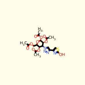 CC(=O)OCC1O[C@@H](OC(C)=O)[C@@H](OC(C)=O)C(n2cc(-c3csc(O)n3)nn2)[C@H]1OC(C)=O